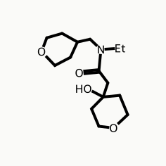 CCN(CC1CCOCC1)C(=O)CC1(O)CCOCC1